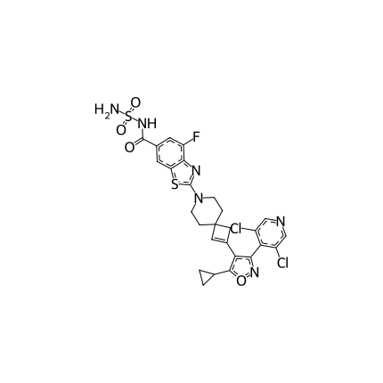 NS(=O)(=O)NC(=O)c1cc(F)c2nc(N3CCC4(C=C(c5c(-c6c(Cl)cncc6Cl)noc5C5CC5)C4)CC3)sc2c1